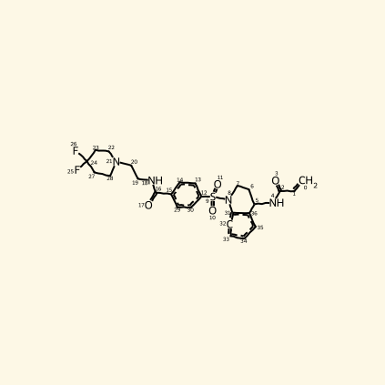 C=CC(=O)NC1CCN(S(=O)(=O)c2ccc(C(=O)NCCN3CCC(F)(F)CC3)cc2)c2ccccc21